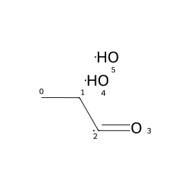 CC[C]=O.[OH].[OH]